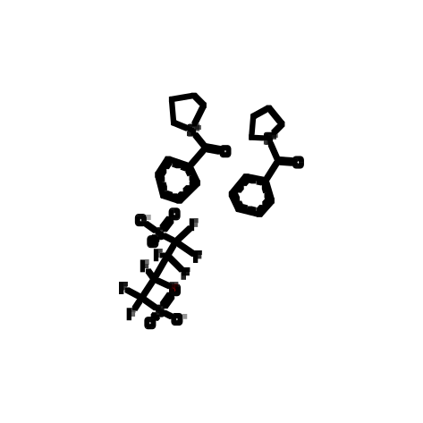 O=C(c1ccccc1)[S+]1CCCC1.O=C(c1ccccc1)[S+]1CCCC1.O=S(=O)([O-])C(F)(F)C(F)(F)C(F)(F)C(F)(F)S(=O)(=O)[O-]